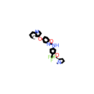 CN1CCC[C@@H]1COc1cc(Nc2nc3cc(Oc4ccnc5ccccc45)ccc3o2)ccc1C(F)(F)F